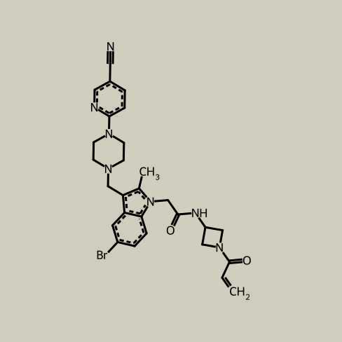 C=CC(=O)N1CC(NC(=O)Cn2c(C)c(CN3CCN(c4ccc(C#N)cn4)CC3)c3cc(Br)ccc32)C1